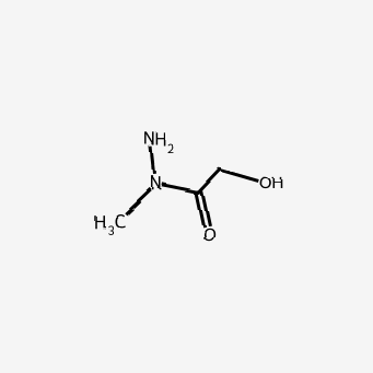 CN(N)C(=O)CO